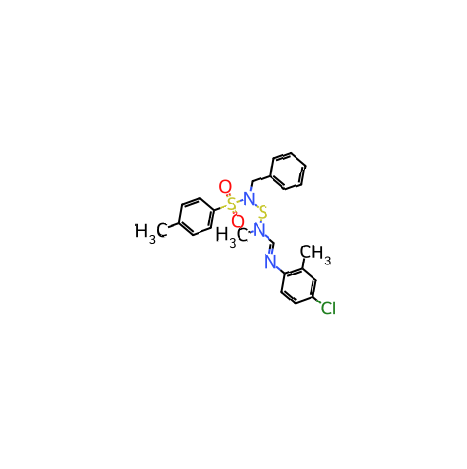 Cc1ccc(S(=O)(=O)N(Cc2ccccc2)SN(C)C=Nc2ccc(Cl)cc2C)cc1